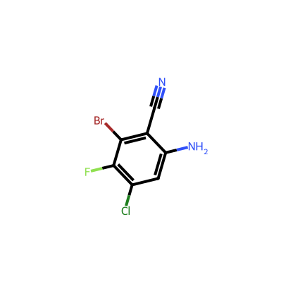 N#Cc1c(N)cc(Cl)c(F)c1Br